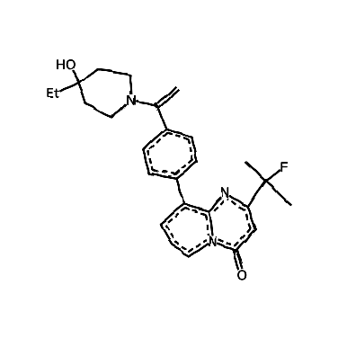 C=C(c1ccc(-c2cccn3c(=O)cc(C(C)(C)F)nc23)cc1)N1CCC(O)(CC)CC1